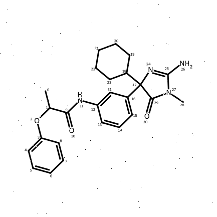 CC(Oc1ccccc1)C(=O)Nc1cccc(C2(C3CCCCC3)N=C(N)N(C)C2=O)c1